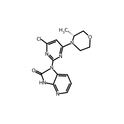 C[C@@H]1COCCN1c1cc(Cl)nc(-n2c(=O)[nH]c3ncccc32)n1